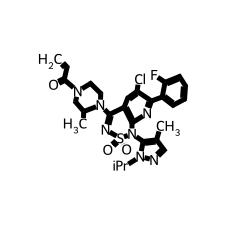 C=CC(=O)N1CCN(C2=NS(=O)(=O)N(c3c(C)cnn3C(C)C)c3nc(-c4ccccc4F)c(Cl)cc32)C(C)C1